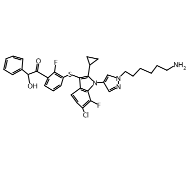 NCCCCCCn1cc(-n2c(C3CC3)c(Sc3cccc(C(=O)C(O)c4ccccc4)c3F)c3ccc(Cl)c(F)c32)cn1